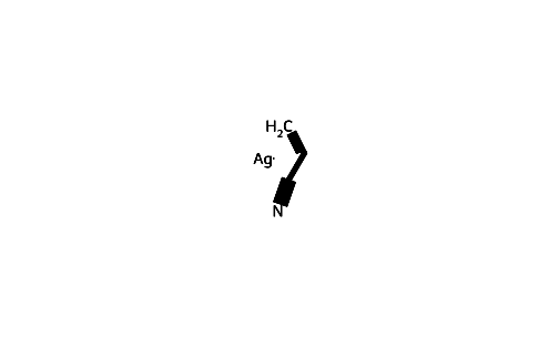 C=CC#N.[Ag]